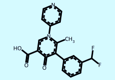 Cc1c(-c2cccc(C(F)F)c2)c(=O)c(C(=O)O)cn1-c1ccncc1